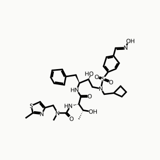 Cc1nc(CN(C)C(=O)N[C@H](C(=O)N[C@@H](Cc2ccccc2)[C@H](O)CN(CC2CCC2)S(=O)(=O)c2ccc(/C=N/O)cc2)[C@@H](C)O)cs1